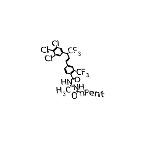 CCCCCC(=O)N[C@@H](C)NC(=O)c1ccc(C=CC(c2cc(Cl)c(Cl)c(Cl)c2)C(F)(F)F)cc1C(F)(F)F